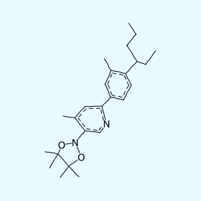 CCCC(CC)c1ccc(-c2cc(C)c(N3OC(C)(C)C(C)(C)O3)cn2)cc1C